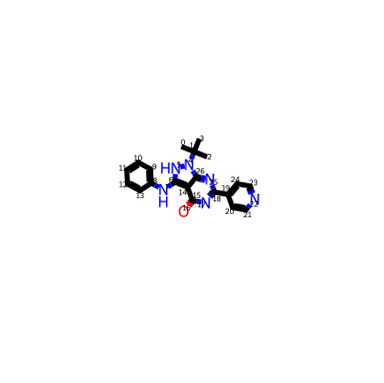 CC(C)(C)n1[nH]c(Nc2ccccc2)c2c(=O)nc(-c3ccncc3)nc1-2